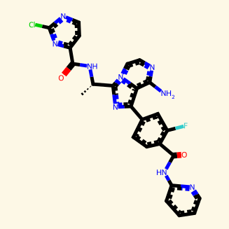 C[C@H](NC(=O)c1ccnc(Cl)n1)c1nc(-c2ccc(C(=O)Nc3ccccn3)c(F)c2)c2c(N)nccn12